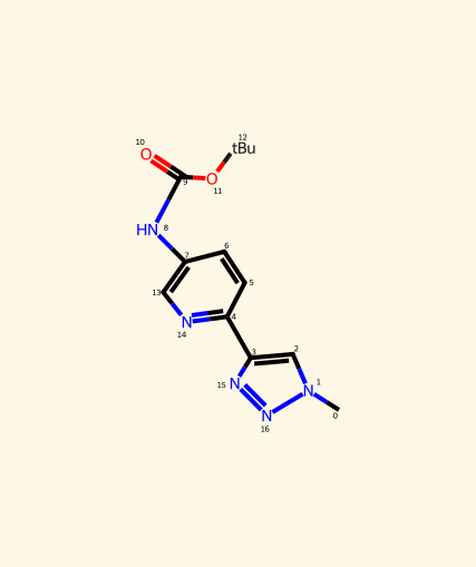 Cn1cc(-c2ccc(NC(=O)OC(C)(C)C)cn2)nn1